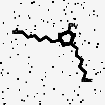 [CH2]c1nc(CCCCCCCCCCCCCCC)cc(CCCCCCCCCCCCCCC)n1